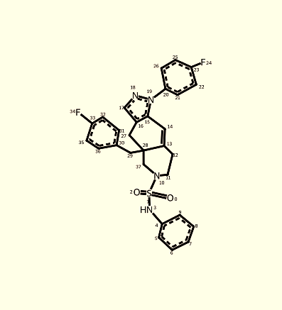 O=S(=O)(Nc1ccccc1)N1CCC2=Cc3c(cnn3-c3ccc(F)cc3)CC2(Cc2ccc(F)cc2)C1